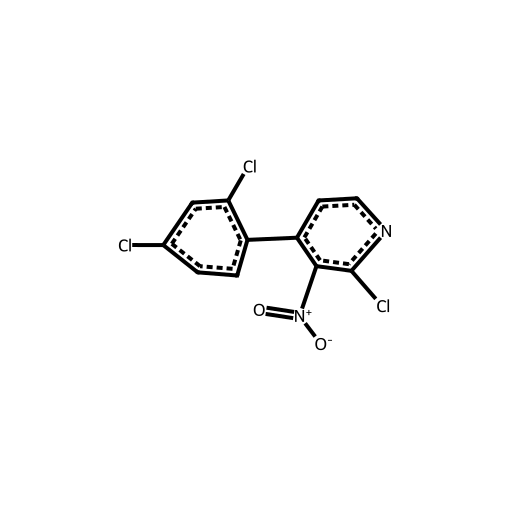 O=[N+]([O-])c1c(-c2ccc(Cl)cc2Cl)ccnc1Cl